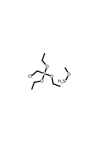 CCO[Si](CCl)(OCC)OCC.CO[SiH3]